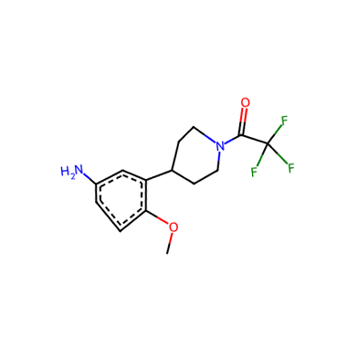 COc1ccc(N)cc1C1CCN(C(=O)C(F)(F)F)CC1